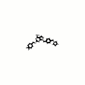 Nc1nc(OCC2CCC(F)(F)CC2)nc2c1cnn2Cc1ccc(CN2CCCC2)cc1